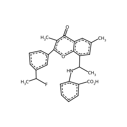 Cc1cc(C(C)Nc2ccccc2C(=O)O)c2oc(-c3cccc(C(C)F)c3)c(C)c(=O)c2c1